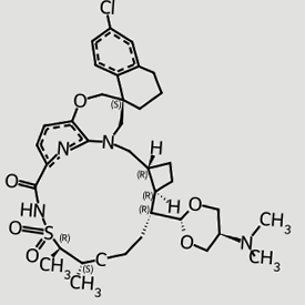 C[C@@H]1[C@@H](C)CCC[C@@H]([C@H]2OC[C@H](N(C)C)CO2)[C@@H]2CC[C@H]2CN2C[C@@]3(CCCc4cc(Cl)ccc43)COc3ccc(nc32)C(=O)NS1(=O)=O